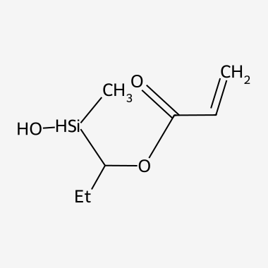 C=CC(=O)OC(CC)[SiH](C)O